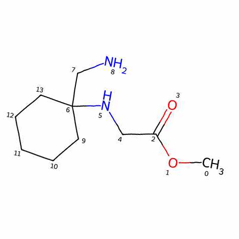 COC(=O)CNC1(CN)CCCCC1